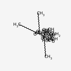 CCCCCCCCCCCCCCCC(=O)N[C@@H](CSC[C@@H](COC(=O)CCCCCCCCCCCCCCC)OC(=O)CCCCCCCCCCCCCCC)C(=O)N[C@@H](CO)C(=O)N[C@@H](CO)C(=O)N[C@@H](CC(N)=O)C(=O)N[C@@H](C)C(=O)N[C@@H](CCC(=O)O)C(=O)O